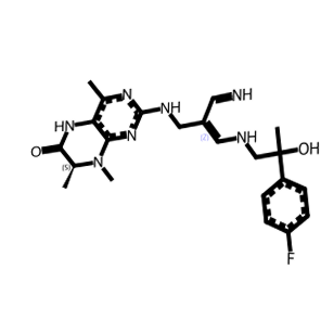 Cc1nc(NC/C(C=N)=C/NCC(C)(O)c2ccc(F)cc2)nc2c1NC(=O)[C@H](C)N2C